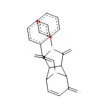 O=C1C=CC2C3C(=O)N(c4ccccc4)C(=O)C3C1N2C=Cc1ccccc1